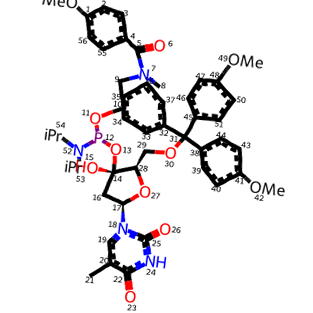 COc1ccc(C(=O)N(C)CCOP(O[C@@]2(O)C[C@H](n3cc(C)c(=O)[nH]c3=O)O[C@@H]2COC(c2ccccc2)(c2ccc(OC)cc2)c2ccc(OC)cc2)N(C(C)C)C(C)C)cc1